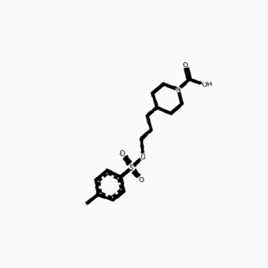 Cc1ccc(S(=O)(=O)OCCCC2CCN(C(=O)O)CC2)cc1